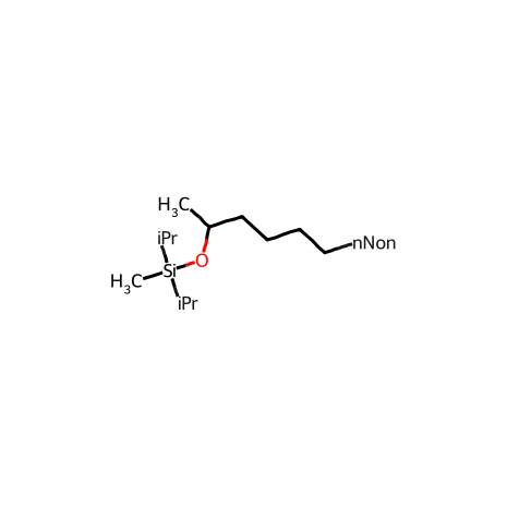 CCCCCCCCCCCCCC(C)O[Si](C)(C(C)C)C(C)C